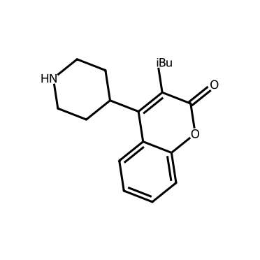 CCC(C)c1c(C2CCNCC2)c2ccccc2oc1=O